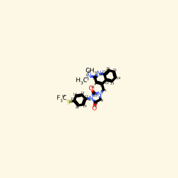 CN(C)c1cc(CN2CC(=O)N(c3ccc(SC(F)(F)F)cc3)C2=O)c2ccccc2n1